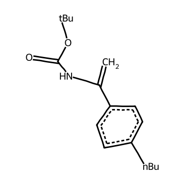 C=C(NC(=O)OC(C)(C)C)c1ccc(CCCC)cc1